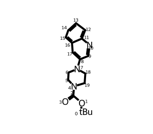 CC(C)(C)OC(=O)N1CCN(c2cnc3ccccc3c2)CC1